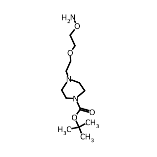 CC(C)(C)OC(=O)N1CCN(CCOCCON)CC1